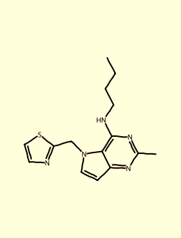 CCCCNc1nc(C)nc2ccn(Cc3nccs3)c12